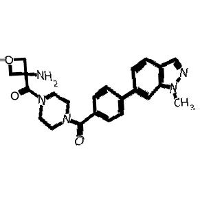 Cn1ncc2ccc(-c3ccc(C(=O)N4CCN(C(=O)C5(N)COC5)CC4)cc3)cc21